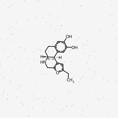 CCc1cc2c(o1)CN[C@@H]1CCc3cc(O)c(O)cc3[C@@H]21